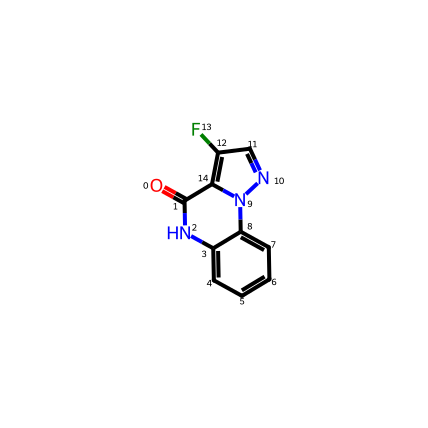 O=c1[nH]c2ccccc2n2ncc(F)c12